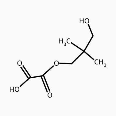 CC(C)(CO)COC(=O)C(=O)O